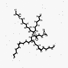 CCCCC/C=C\CCCC(CCC/C=C\CCCCC)CN(C(=O)CCN(C)C)C(CCCCCCC)CCCCCCCCCC